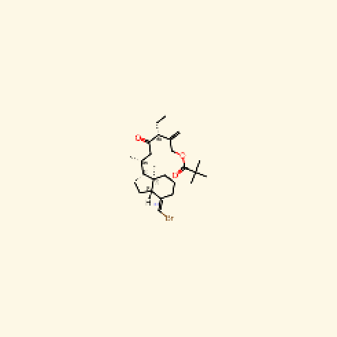 C=C(COC(=O)C(C)(C)C)[C@@H](CC)C(=O)C[C@@H](C)[C@H]1CC[C@H]2/C(=C/Br)CCC[C@]12C